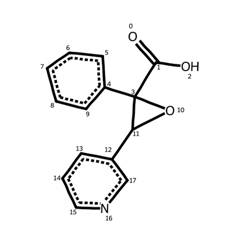 O=C(O)C1(c2ccccc2)OC1c1cccnc1